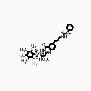 Cc1c(C)c(C)c(S(=O)(=O)N[C@@H](Cc2nc3ccc(C=CCNC(=O)Nc4ccccc4)cc3c(=O)[nH]2)C(=O)O)c(C)c1C